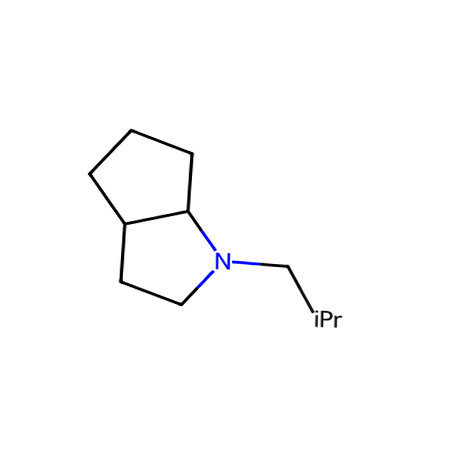 CC(C)CN1CCC2CCCC21